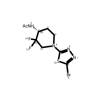 CC(=O)N[C@@H]1CCN(c2nnc(Br)s2)CC1(F)F